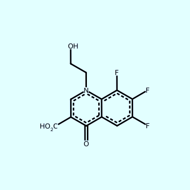 O=C(O)c1cn(CCO)c2c(F)c(F)c(F)cc2c1=O